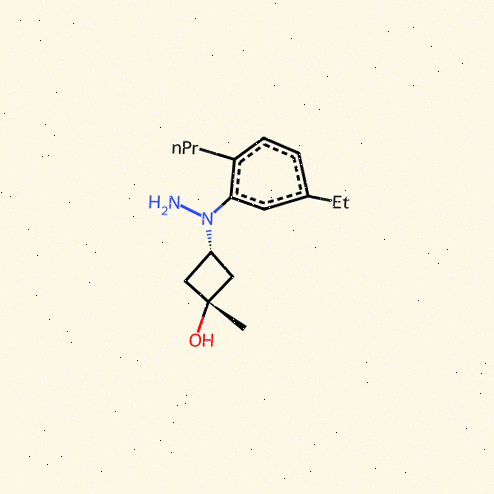 CCCc1ccc(CC)cc1N(N)[C@H]1C[C@@](C)(O)C1